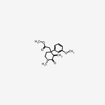 C=C1C(=O)N(C)CCC1(CC(=O)OC)c1cccc(OC)c1